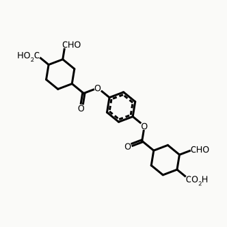 O=CC1CC(C(=O)Oc2ccc(OC(=O)C3CCC(C(=O)O)C(C=O)C3)cc2)CCC1C(=O)O